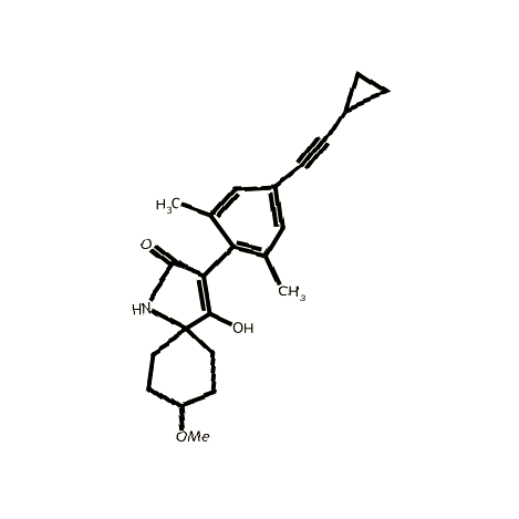 COC1CCC2(CC1)NC(=O)C(c1c(C)cc(C#CC3CC3)cc1C)=C2O